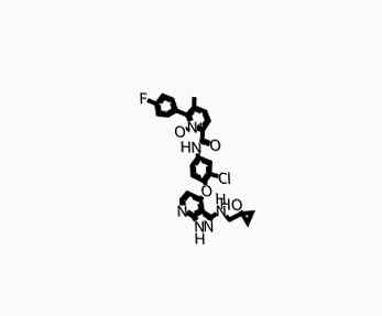 Cc1ccc(C(=O)Nc2ccc(Oc3ccnc4[nH]nc(NCC5(O)CC5)c34)c(Cl)c2)[n+]([O-])c1-c1ccc(F)cc1